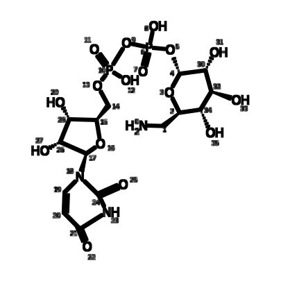 NC[C@H]1O[C@H](OP(=O)(O)OP(=O)(O)OC[C@H]2O[C@@H](n3ccc(=O)[nH]c3=O)[C@H](O)[C@@H]2O)[C@H](O)[C@@H](O)[C@@H]1O